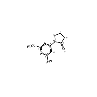 CCCc1cc(C(=O)O)cc(N2CCCC2=O)c1